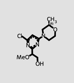 COC(CO)c1nc(Cl)cc(N2CCO[C@H](C)C2)n1